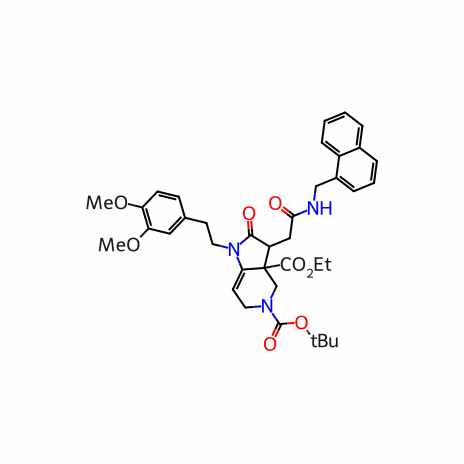 CCOC(=O)C12CN(C(=O)OC(C)(C)C)CC=C1N(CCc1ccc(OC)c(OC)c1)C(=O)C2CC(=O)NCc1cccc2ccccc12